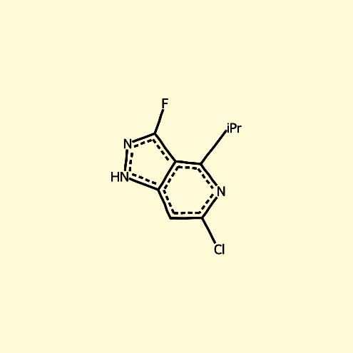 CC(C)c1nc(Cl)cc2[nH]nc(F)c12